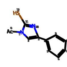 CC(=O)n1cc(-c2ccccc2)nc1S